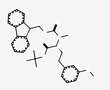 COc1cccc(CC[C@@H](C(=O)OC(C)(C)C)N(C)C(=O)OCC2c3ccccc3-c3ccccc32)c1